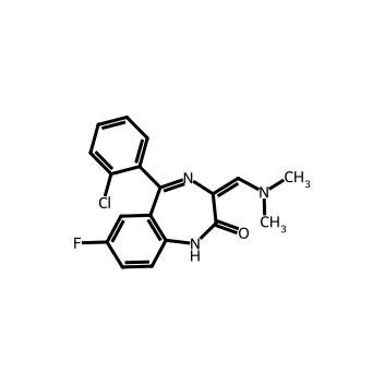 CN(C)C=C1N=C(c2ccccc2Cl)c2cc(F)ccc2NC1=O